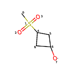 CS(=O)(=O)C1CC([O])C1